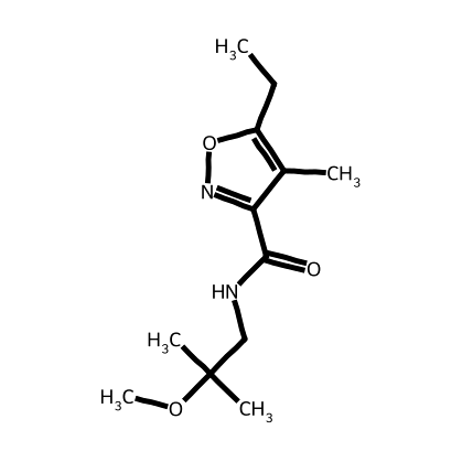 CCc1onc(C(=O)NCC(C)(C)OC)c1C